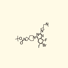 CN(C)CC1CN(c2nc(N3CCC4(CC3)CN(C(=O)OC(C)(C)C)C4)c3cc(I)c(Br)c(F)c3n2)C1